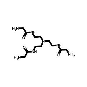 NCC(=O)NCCN(CCNC(=O)CN)CCNC(=O)CN